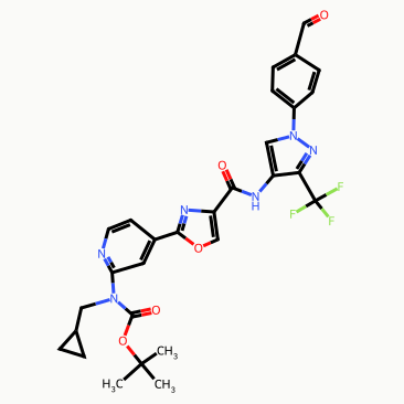 CC(C)(C)OC(=O)N(CC1CC1)c1cc(-c2nc(C(=O)Nc3cn(-c4ccc(C=O)cc4)nc3C(F)(F)F)co2)ccn1